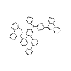 c1ccc(-c2cccc(-c3cc(N(c4ccccc4)c4ccc(-c5cc6ccccc6c6ccccc56)cc4)ccc3-c3ccccc3C3CCc4ccccc4-c4ccccc43)c2)cc1